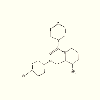 CC(C)C1CCC(OCC2C(N)CCCN2C(=O)C2CCOCC2)CC1